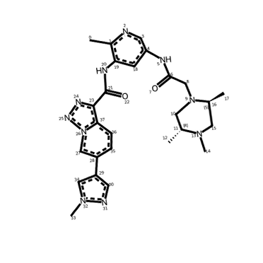 Cc1ncc(NC(=O)CN2C[C@@H](C)N(C)C[C@@H]2C)cc1NC(=O)c1nnn2cc(-c3cnn(C)c3)ccc12